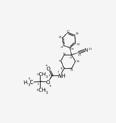 CC(C)(C)OC(=O)NC1CCC(C#N)(c2ccccc2)CC1